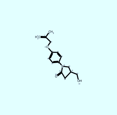 C=C(C)COc1ccc(N2CC(CO)CC2=O)cc1